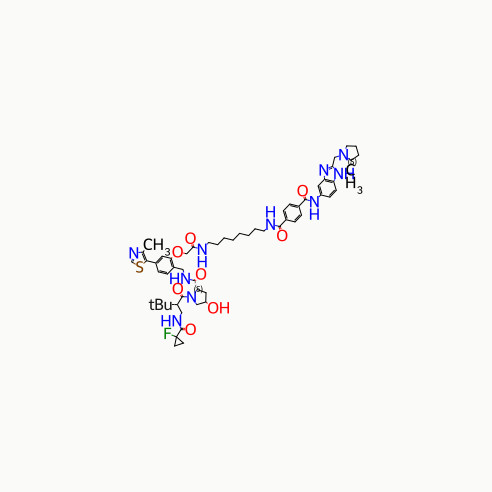 Cc1ncsc1-c1ccc(CNC(=O)[C@@H]2CC(O)CN2C(=O)C(CNC(=O)C2(F)CC2)C(C)(C)C)c(OCC(=O)NCCCCCCCCNC(=O)c2ccc(C(=O)Nc3ccc4[nH]c(CN5CCC[C@@H]5C)nc4c3)cc2)c1